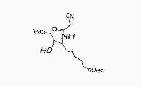 CCCCCCCCCCCCCCCC(NC(=O)CC#N)C(O)CO